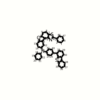 c1ccc(-c2nc3c(ccc4oc5ccc(N(c6ccccc6)c6ccc(-c7cccc8c7sc7ccccc78)cc6)cc5c43)s2)cc1